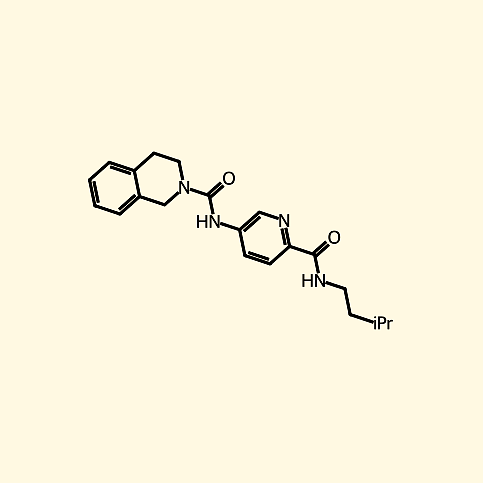 CC(C)CCNC(=O)c1ccc(NC(=O)N2CCc3ccccc3C2)cn1